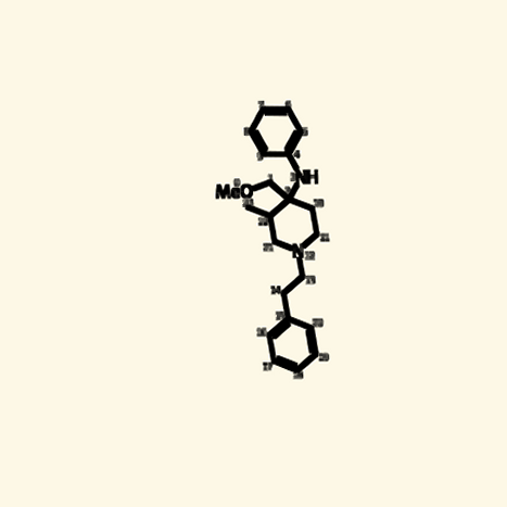 COCC1(Nc2ccccc2)CCN(CCc2ccccc2)CC1C